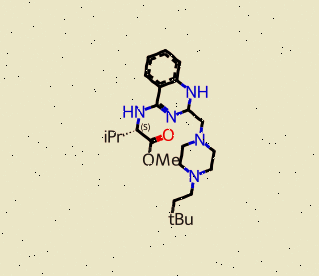 COC(=O)[C@@H](NC1=NC(CN2CCN(CCC(C)(C)C)CC2)Nc2ccccc21)C(C)C